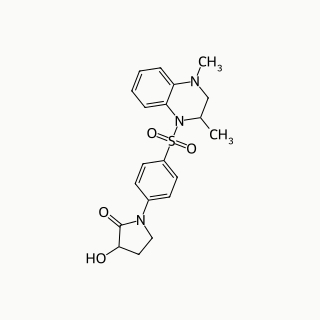 CC1CN(C)c2ccccc2N1S(=O)(=O)c1ccc(N2CCC(O)C2=O)cc1